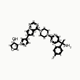 CC(N)(c1ccc(F)cc1)c1cnc(N2CCN(c3ncnn4cc(-c5cnn([C@@H]6COC[C@@H]6O)c5)cc34)CC2)nc1